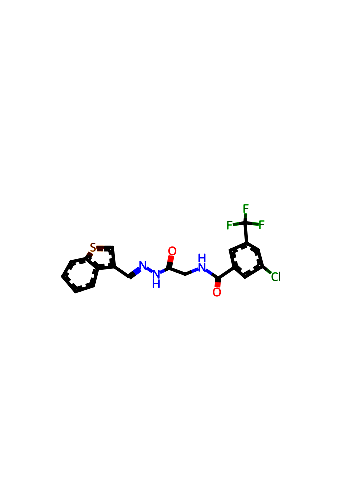 O=C(CNC(=O)c1cc(Cl)cc(C(F)(F)F)c1)N/N=C/c1csc2ccccc12